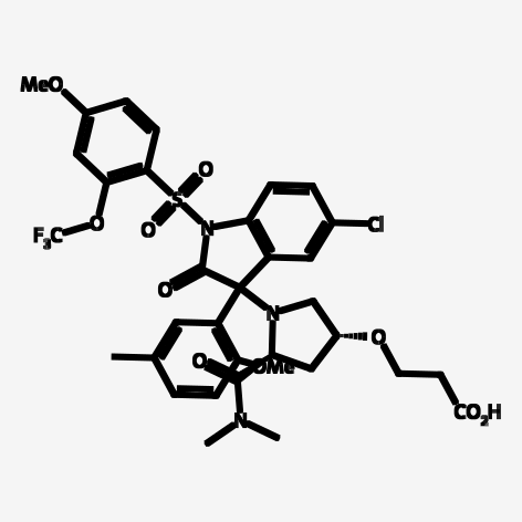 COc1ccc(S(=O)(=O)N2C(=O)C(c3cc(C)ccc3OC)(N3C[C@H](OCCC(=O)O)C[C@H]3C(=O)N(C)C)c3cc(Cl)ccc32)c(OC(F)(F)F)c1